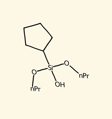 CCCO[Si](O)(OCCC)C1CCCC1